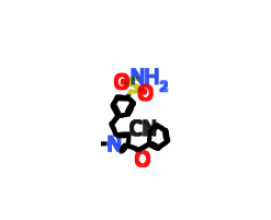 Cn1cc(C(=O)c2ccccc2)c(C#N)c1Cc1ccc(S(N)(=O)=O)cc1